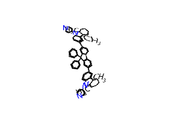 CC12CCCCC1(C)N(c1ccncc1)c1ccc(-c3ccc4c(c3)C(c3ccccc3)(c3ccccc3)c3cc(-c5ccc6c(c5)C5(C)CCCCC5(C)N6c5ccncc5)ccc3-4)cc12